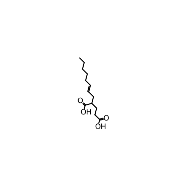 CCCCCC=CCC(CCC(=O)O)C(=O)O